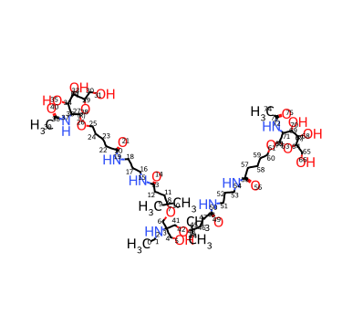 CCNC(CO)(COC(C)(C)CCC(=O)NCCCNC(=O)CCCCO[C@@H]1OC(CO)[C@H](O)C(O)C1NC(C)=O)COC(C)(C)CCC(=O)NCCCNC(=O)CCCCO[C@@H]1OC(CO)[C@H](O)C(O)C1NC(C)=O